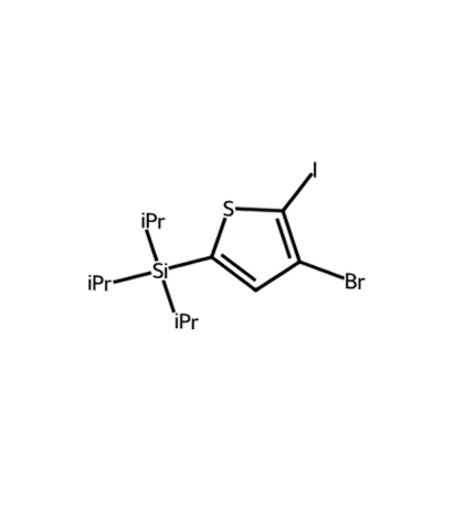 CC(C)[Si](c1cc(Br)c(I)s1)(C(C)C)C(C)C